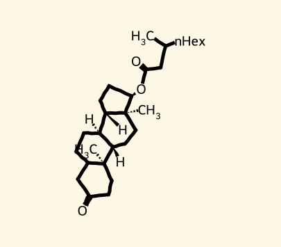 CCCCCCC(C)CC(=O)O[C@H]1CC[C@H]2[C@@H]3CCC4CC(=O)CC[C@]4(C)[C@H]3CC[C@]12C